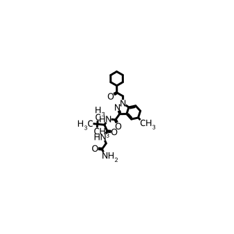 CC1C=c2c(C(=O)NC(C(=O)NCC(N)=O)C(C)(C)C)nn(CC(=O)C3CCCCC3)c2=CC1